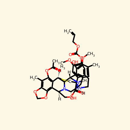 C=CCOC(=O)Oc1cc2c(cc1OC)[C@@]1(CS[C@@H]3c4c(OC(C)=O)c(C)c5c(c4[C@H](COC1=O)N1C3[C@@H]3c4c(cc(C)c(OC)c4O)C[C@@H]([C@@H]1O)N3C)OCO5)NCC2